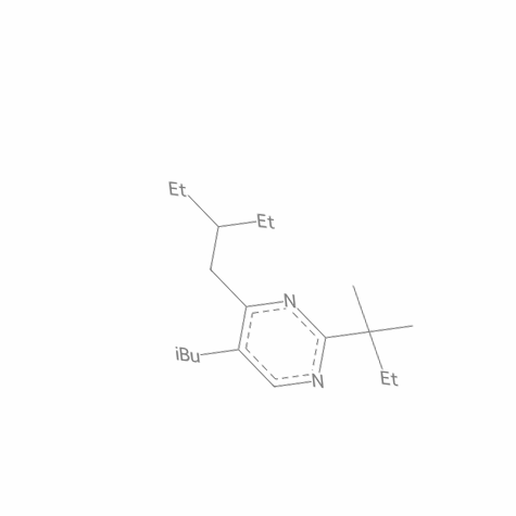 CCC(CC)Cc1nc(C(C)(C)CC)ncc1C(C)CC